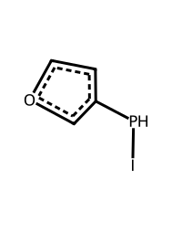 IPc1ccoc1